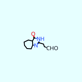 O=CCCC1=NC2CCCCCC2C(=O)N1